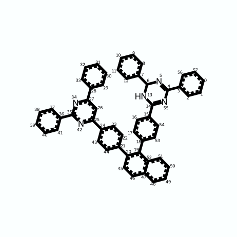 c1ccc(C2=NC(c3ccccc3)NC(c3ccc(-c4c(-c5ccc(-c6cc(-c7ccccc7)nc(-c7ccccc7)n6)cc5)ccc5ccccc45)cc3)=N2)cc1